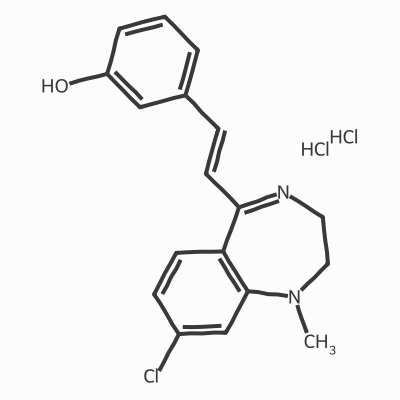 CN1CCN=C(/C=C/c2cccc(O)c2)c2ccc(Cl)cc21.Cl.Cl